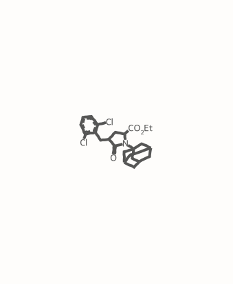 CCOC(=O)C1CC(Cc2c(Cl)cccc2Cl)C(=O)N1C12CC3CC(CC(C3)C1)C2